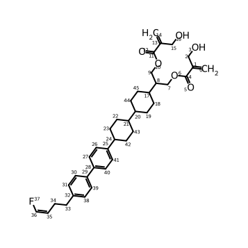 C=C(CO)C(=O)OCC(COC(=O)C(=C)CO)C1CCC(C2CCC(c3ccc(-c4ccc(CC/C=C\F)cc4)cc3)CC2)CC1